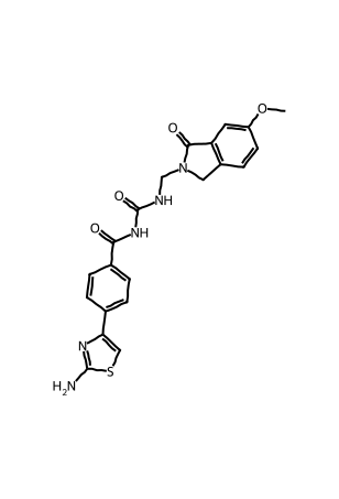 COc1ccc2c(c1)C(=O)N(CNC(=O)NC(=O)c1ccc(-c3csc(N)n3)cc1)C2